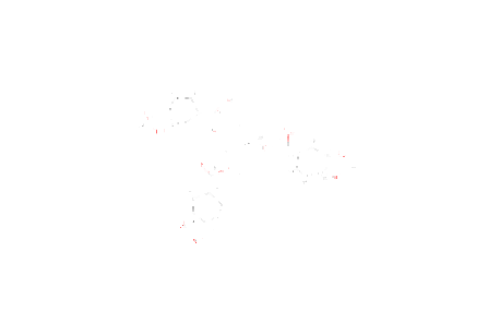 CCC(COC(=O)c1ccc2c(c1)OCO2)(COC(=O)c1ccc2c(c1)OCO2)COC(=O)c1ccc2c(c1)OCO2